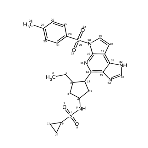 CCC1CC(NS(=O)(=O)C2CC2)CC1c1nc2c(ccn2S(=O)(=O)c2ccc(C)cc2)c2[nH]cnc12